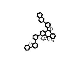 CC1(C)c2ccccc2-c2oc3ccc(-c4ccc5ccccc5c4)cc3c2-c2ccc(-c3cccc(-c4cccc5c4oc4ccccc45)c3)cc21